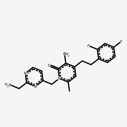 Bc1c(CCc2ccc(F)cc2F)cc(C)n(Cc2ccnc(CN)n2)c1=O